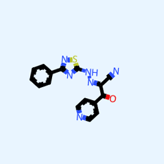 N#C/C(=N\Nc1nc(-c2ccccc2)ns1)C(=O)c1ccncc1